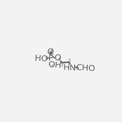 O=CNCCOP(=O)(O)O